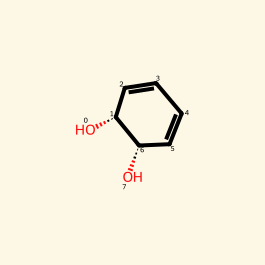 O[C@@H]1C=CC=C[C@@H]1O